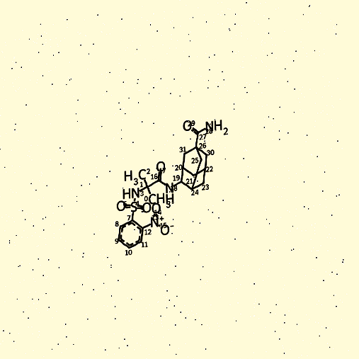 CC(C)(NS(=O)(=O)c1ccccc1[N+](=O)[O-])C(=O)NC1C2CC3CC1CC(C(N)=O)(C3)C2